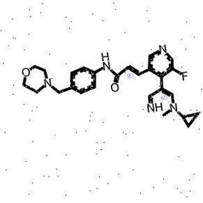 CN(/C=C(\C=N)c1c(F)cncc1/C=C/C(=O)Nc1ccc(CN2CCOCC2)cc1)C1CC1